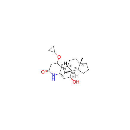 C[C@@]12CCC[C@H]1[C@@H]1[C@@H](O)C=C3NC(=O)CC(OC4CC4)[C@]3(C)[C@H]1CC2